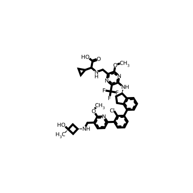 COc1nc(-c2cccc(-c3cccc4c3CC[C@@H]4Nc3nc(OC)c(CNC(C(=O)O)C4CC4)nc3C(F)(F)F)c2Cl)ccc1CN[C@H]1C[C@](C)(O)C1